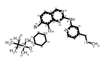 CSCc1ccnc(Nc2ncc3ccc(Br)c(O[C@H]4CC[C@@H](O[Si](C)(C)C(C)(C)C)CC4)c3n2)c1